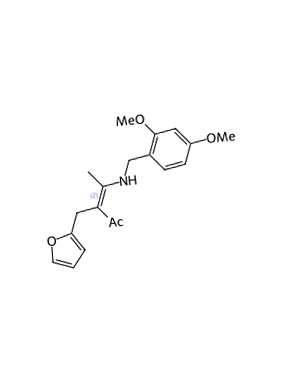 COc1ccc(CN/C(C)=C(/Cc2ccco2)C(C)=O)c(OC)c1